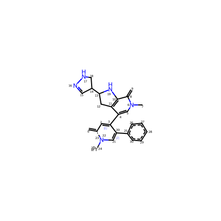 C=C/C=C(C1=CN(C)C(=C)C2=C1CC(C1C=NNC1)N2)\C(=C/N(C)C(C)C)c1ccccc1